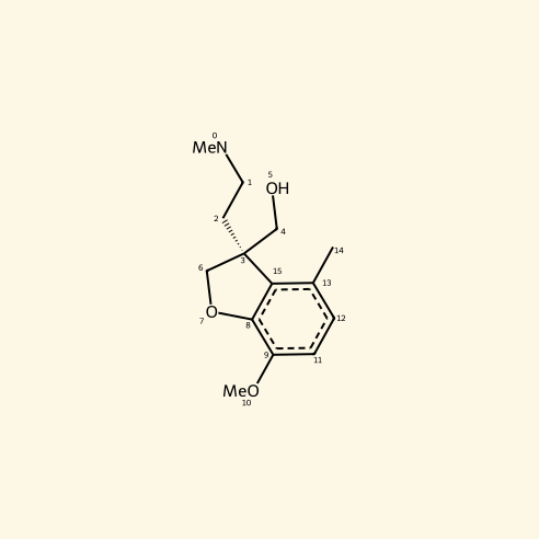 CNCC[C@@]1(CO)COc2c(OC)ccc(C)c21